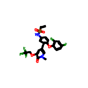 CCS(=O)(=O)Nc1ccc(Oc2ccc(F)cc2F)c(-c2cc(OCC(F)(F)F)c(=O)n(C)c2)c1